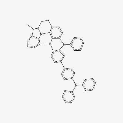 CC1c2cccc3c2N2c4c(ccc5c4B3c3ccc(-c4ccc(N(c6ccccc6)c6ccccc6)cc4)cc3N5c3ccccc3)CCC12